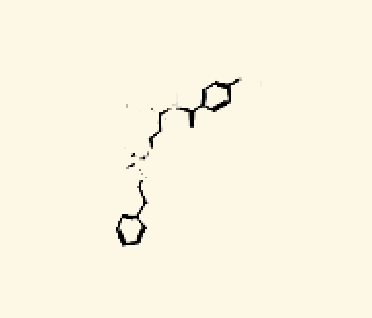 Cc1ccc(C(=O)N[C@@H](CCOP(=O)(O)NCCc2ccccc2)C(=O)O)cc1